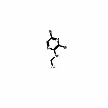 CC(=O)CNc1ncc(Br)nc1Br